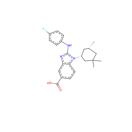 C[C@H]1C[C@@H](n2c(Nc3ccc(F)cc3)nc3cc(C(=O)O)ccc32)CC(C)(C)C1